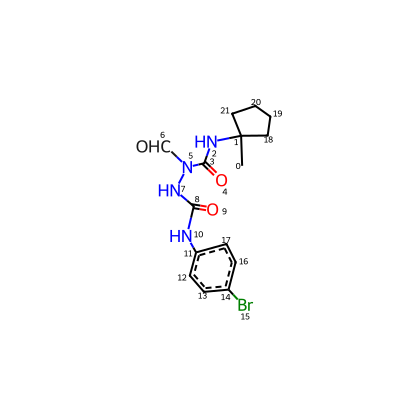 CC1(NC(=O)N(C=O)NC(=O)Nc2ccc(Br)cc2)CCCC1